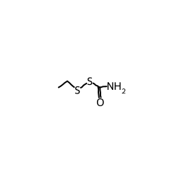 CCSSC(N)=O